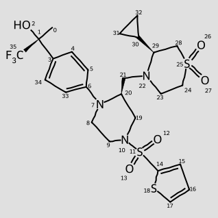 C[C@@](O)(c1ccc(N2CCN(S(=O)(=O)c3cccs3)C[C@@H]2CN2CCS(=O)(=O)C[C@@H]2C2CC2)cc1)C(F)(F)F